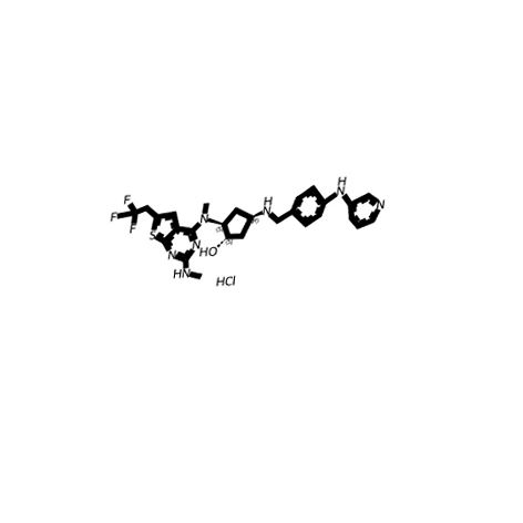 CNc1nc(N(C)[C@H]2C[C@@H](NCc3ccc(Nc4cccnc4)cc3)C[C@@H]2O)c2cc(CC(F)(F)F)sc2n1.Cl